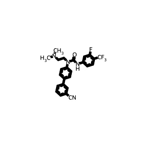 CN(C)CCN(C(=O)Nc1ccc(C(F)(F)F)c(F)c1)c1ccc(-c2cccc(C#N)c2)cc1